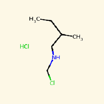 CCC(C)CNCCl.Cl